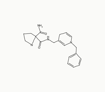 NC(=O)C1(C(=O)NCC2=CN(Cc3ccccc3)C=CC2)CCC[N]1